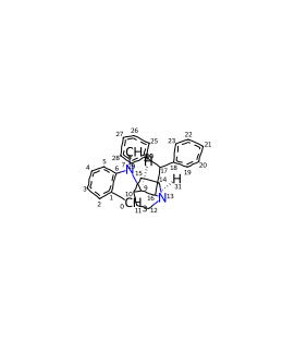 Cc1ccccc1N(C)[C@@H]1C2CCN(CC2)[C@@H]1C(c1ccccc1)c1ccccc1